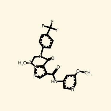 COc1cncc(NC(=O)c2cnn3c2C(=O)N(c2ccc(C(F)(F)F)cc2)C[C@@H]3C)c1